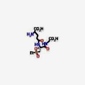 CCS(=O)(=O)C[C@H](NC(=O)CCC(N)C(=O)O)C(=O)NCC(=O)O